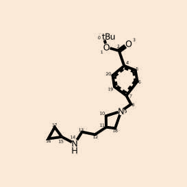 CC(C)(C)OC(=O)c1ccc(CN2CC(CCNC3CC3)C2)cc1